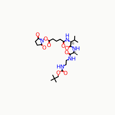 CC(C)[C@H](NC(=O)CCCC(=O)ON1C(=O)CCC1=O)C(=O)N[C@@H](C)C(=O)NCCNC(=O)OCC(C)(C)C